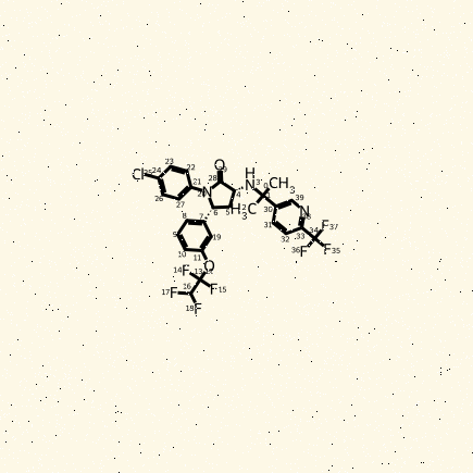 CC(C)(N[C@@H]1C[C@H](c2cccc(OC(F)(F)C(F)F)c2)N(c2ccc(Cl)cc2)C1=O)c1ccc(C(F)(F)F)nc1